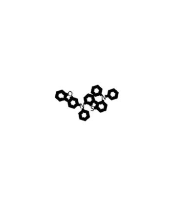 c1ccc(N(c2ccc3c(c2)oc2ccccc23)c2cccc3c2sc2cccc(N(c4ccccc4)c4ccccc4)c23)cc1